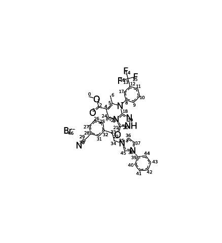 COC(=O)C1=C(C)N(c2cccc(C(F)(F)F)c2)c2n[nH]c(=O)n2[C@@H]1c1ccc(C#N)cc1CC[n+]1ccn(-c2ccccc2)c1.[Br-]